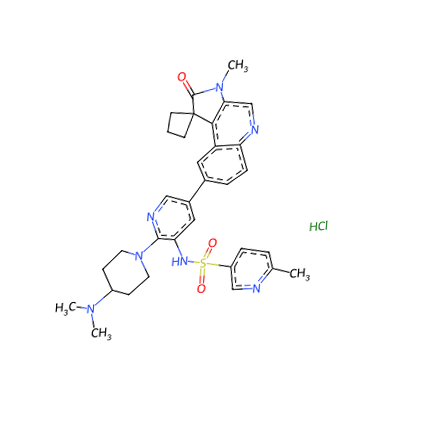 Cc1ccc(S(=O)(=O)Nc2cc(-c3ccc4ncc5c(c4c3)C3(CCC3)C(=O)N5C)cnc2N2CCC(N(C)C)CC2)cn1.Cl